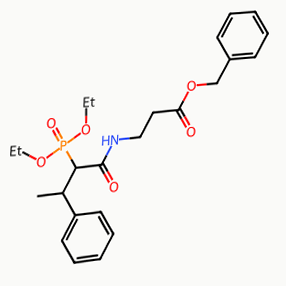 CCOP(=O)(OCC)C(C(=O)NCCC(=O)OCc1ccccc1)C(C)c1ccccc1